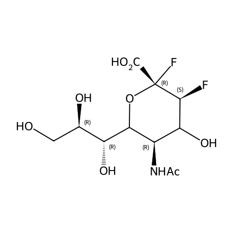 CC(=O)N[C@H]1C([C@H](O)[C@H](O)CO)O[C@@](F)(C(=O)O)[C@@H](F)C1O